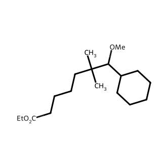 CCOC(=O)CCCCC(C)(C)C(OC)C1CCCCC1